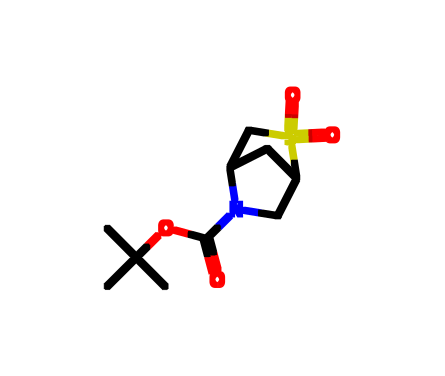 CC(C)(C)OC(=O)N1CC2CC1CS2(=O)=O